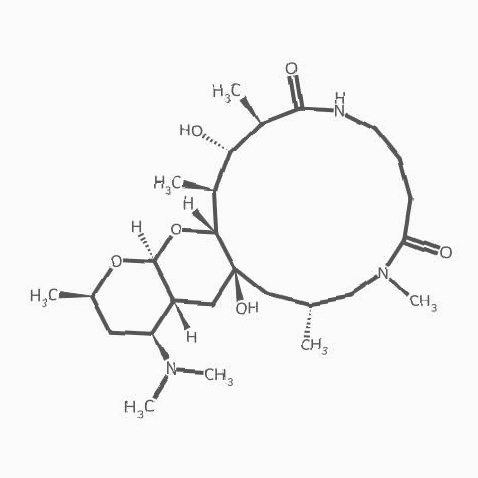 C[C@H]1CN(C)C(=O)CCCNC(=O)[C@H](C)[C@@H](O)[C@H](C)[C@H]2O[C@@H]3O[C@H](C)C[C@H](N(C)C)[C@H]3C[C@@]2(O)C1